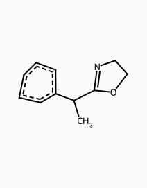 CC(C1=NCCO1)c1ccccc1